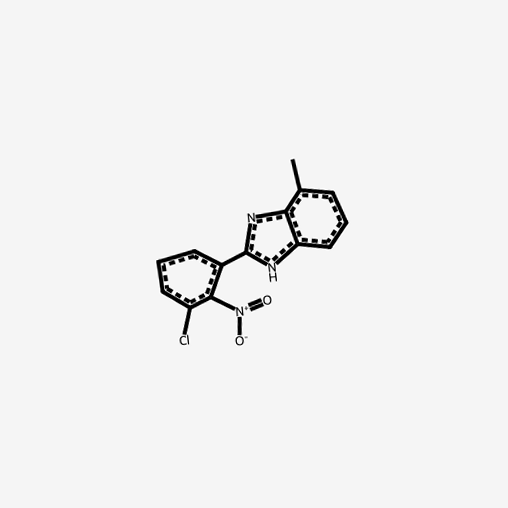 Cc1cccc2[nH]c(-c3cccc(Cl)c3[N+](=O)[O-])nc12